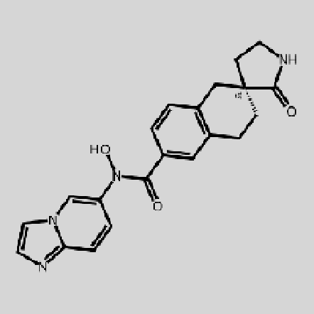 O=C(c1ccc2c(c1)CC[C@@]1(CCNC1=O)C2)N(O)c1ccc2nccn2c1